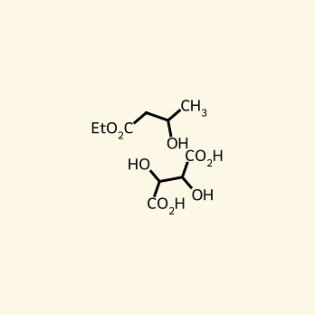 CCOC(=O)CC(C)O.O=C(O)C(O)C(O)C(=O)O